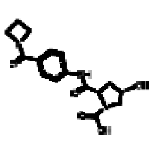 O=C(Nc1ccc(C(=O)N2CCC2)cc1)[C@H]1C[C@@H](O)CN1C(=O)O